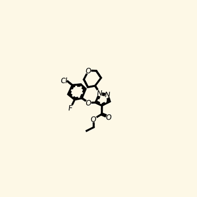 CCOC(=O)c1cnn(C2CCOCC2)c1Oc1ccc(Cl)cc1F